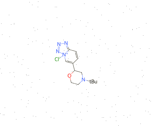 CC(C)(C)N1CCOC(C2=C[N+]3(Cl)N=NN=C3C=C2)C1